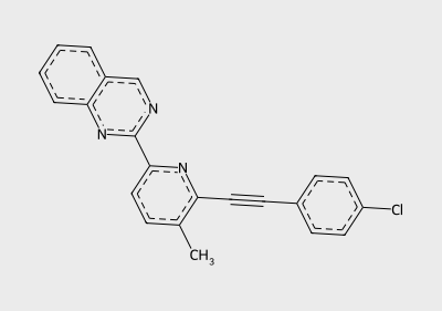 Cc1ccc(-c2ncc3ccccc3n2)nc1C#Cc1ccc(Cl)cc1